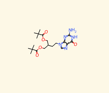 CC(C)(C)C(=O)OCC(CCn1cnc2c(=O)[nH]c(N)nc21)COC(=O)C(C)(C)C